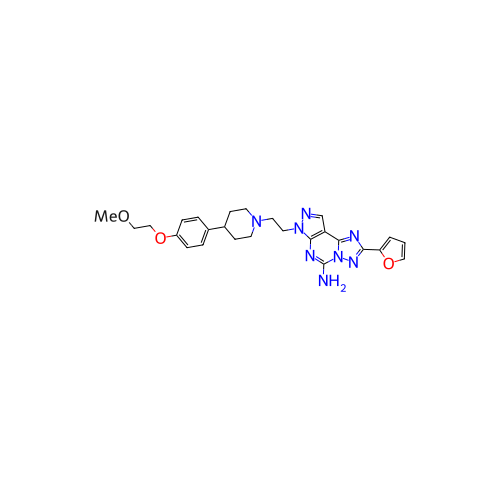 COCCOc1ccc(C2CCN(CCn3ncc4c3nc(N)n3nc(-c5ccco5)nc43)CC2)cc1